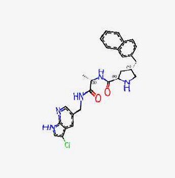 C[C@H](NC(=O)[C@H]1C[C@H](Cc2ccc3ccccc3c2)CN1)C(=O)NCc1cnc2[nH]cc(Cl)c2c1